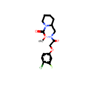 CC(C)(C)OC(=O)N1CCCCC1CNC(=O)COc1ccc(Cl)c(F)c1